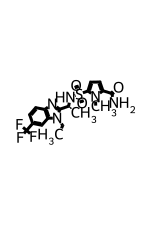 CCn1c([C@@H](C)NS(=O)(=O)c2ccc(C(N)=O)n2C)nc2ccc(C(F)(F)F)cc21